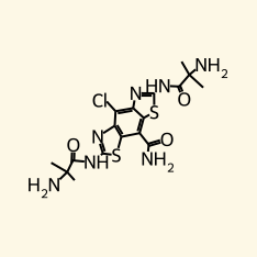 CC(C)(N)C(=O)Nc1nc2c(Cl)c3nc(NC(=O)C(C)(C)N)sc3c(C(N)=O)c2s1